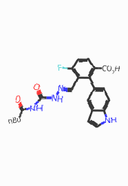 CCCCC(=O)NC(=O)NN=Cc1c(F)ccc(C(=O)O)c1-c1ccc2[nH]ccc2c1